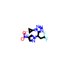 O=[N+]([O-])c1cnn(C(CC(F)F)c2nnnn2C2CC2)c1